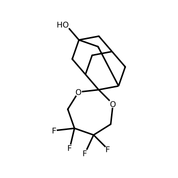 OC12CC3CC(C1)C1(OCC(F)(F)C(F)(F)CO1)C(C3)C2